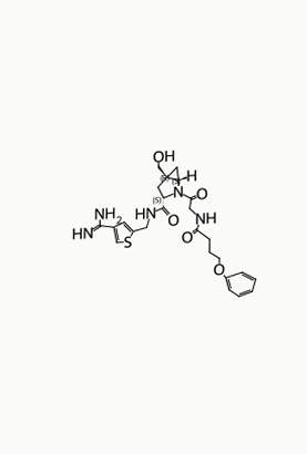 N=C(N)c1csc(CNC(=O)[C@@H]2C[C@]3(CO)C[C@@H]3N2C(=O)CNC(=O)CCCOc2ccccc2)c1